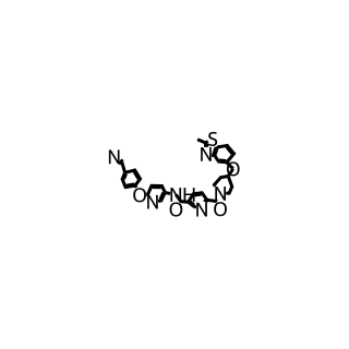 Cc1nc2cc(OC3CCN(C(=O)c4ccc(C(=O)Nc5ccc(Oc6ccc(C#N)cc6)nc5)cn4)CC3)ccc2s1